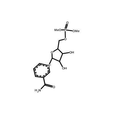 COP(=O)(OC)OCC1OC([n+]2cccc(C(N)=O)c2)C(O)C1O